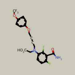 NC(=O)c1c(F)ccc(N(CCCCOc2ccc(OC(F)(F)F)cc2)CC(=O)O)c1F